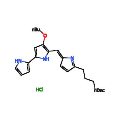 CCCCCCCCCCCCCC1=N/C(=C/c2[nH]c(-c3ccc[nH]3)cc2OCCCC)C=C1.Cl